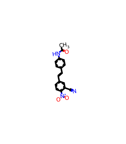 CC(=O)Nc1ccc(C=Cc2ccc([N+](=O)[O-])c(C#N)c2)cc1